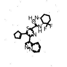 N[C@@H]1CCCC(F)(F)[C@@H]1NC(=O)c1nc(-c2cnn3ccccc23)c(C2=CCCC2)s1